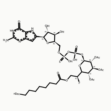 CCCCCCCCCCCCCCCCCC(=O)OC[C@H](F)C1O[C@@H](OP(=O)(O)OP(O)(=S)OC[C@H]2O[C@@H](c3cc4nc(N)[nH]c(=O)c4[nH]3)[C@H](O)[C@H]2O)[C@H](OC(C)=O)[C@@H](OC(C)=O)[C@@H]1OC(C)=O